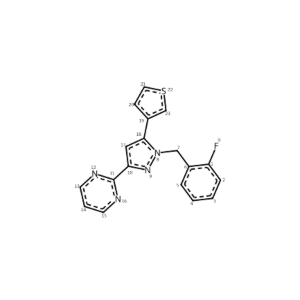 Fc1ccccc1Cn1nc(-c2ncccn2)cc1-c1ccsc1